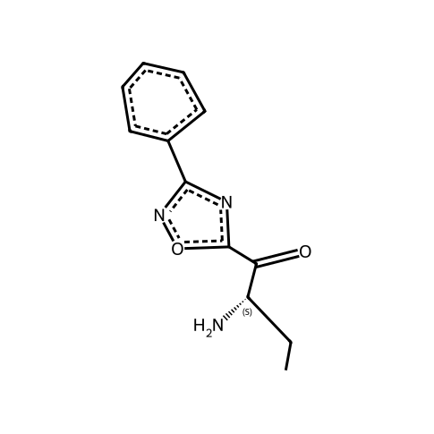 CC[C@H](N)C(=O)c1nc(-c2ccccc2)no1